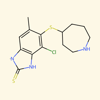 Cc1cc2c(c(Cl)c1SC1CCCNCC1)NC(=S)[N]2